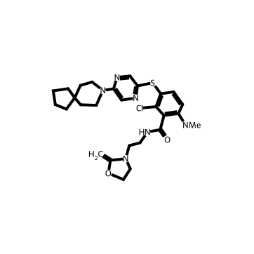 C=C1OCCN1CCNC(=O)c1c(NC)ccc(Sc2cnc(N3CCC4(CCCC4)CC3)cn2)c1Cl